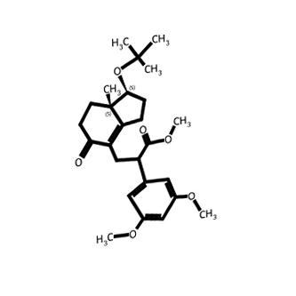 COC(=O)C(CC1=C2CC[C@H](OC(C)(C)C)[C@@]2(C)CCC1=O)c1cc(OC)cc(OC)c1